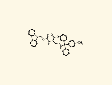 Cc1ccc(C(NCCC(NC(=O)OCC2c3ccccc3-c3ccccc32)C(=O)O)(c2ccccc2)c2ccccc2)cc1